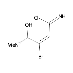 CN[C@H](O)/C(Br)=C\C(=N)Cl